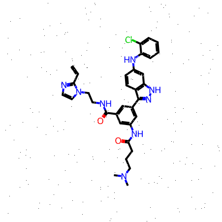 C=Cc1nccn1CCNC(=O)c1cc(NC(=O)CCCN(C)C)cc(-c2n[nH]c3cc(Nc4ccccc4Cl)ccc23)c1